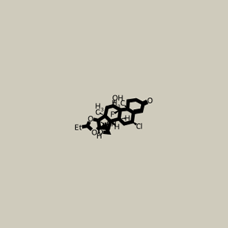 CCC1O[C@@H]2C[C@H]3[C@@H]4C[C@H](Cl)C5=CC(=O)CC[C@]5(C)[C@@]4(F)[C@@H](O)C[C@]3(C)[C@]2(C2(C#N)CO2)O1